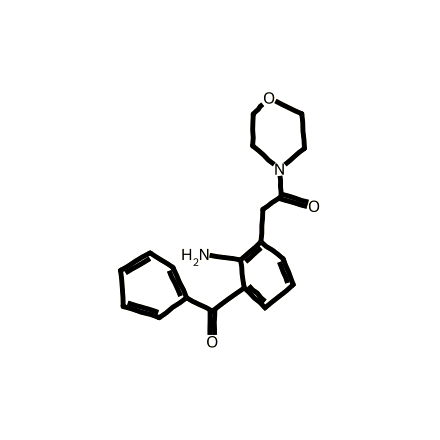 Nc1c(CC(=O)N2CCOCC2)cccc1C(=O)c1ccccc1